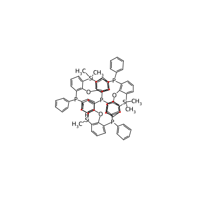 C[SiH]1c2cccc(P(c3ccccc3)c3ccccc3)c2Oc2c1cccc2P(c1cccc2c1Oc1c(P(c3ccccc3)c3ccccc3)cccc1[Si]2(C)C)c1cccc2c1Oc1c(P(c3ccccc3)c3ccccc3)cccc1[Si]2(C)C